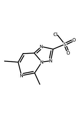 Cc1cc2nc(S(=O)(=O)Cl)nn2c(C)n1